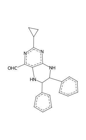 O=Cc1nc(C2CC2)nc2c1NC(c1ccccc1)C(c1ccccc1)N2